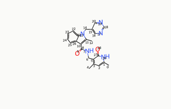 Cc1cc(C)c(CNC(=O)c2c(C)n(Cc3cncnc3)c3ccccc23)c(=O)[nH]1